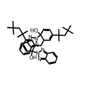 CC(C)(C)CC(C)(C)C1=CC(CC2C=C(C(C)(C)CC(C)(C)C)C=CC2(O)n2nc3ccccc3n2)C(O)(n2nc3ccccc3n2)C=C1